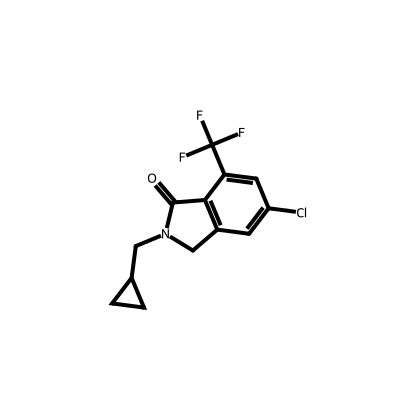 O=C1c2c(cc(Cl)cc2C(F)(F)F)CN1CC1CC1